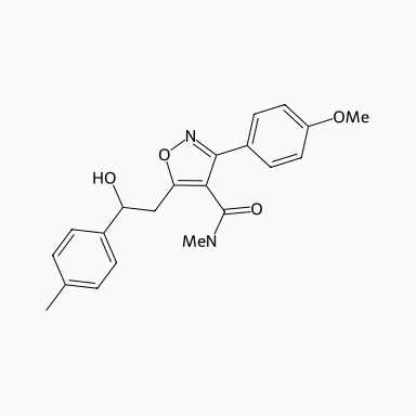 CNC(=O)c1c(-c2ccc(OC)cc2)noc1CC(O)c1ccc(C)cc1